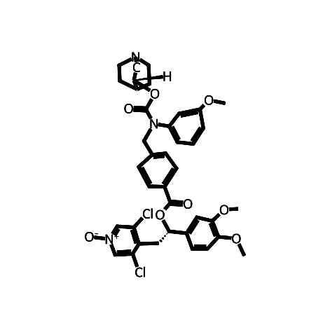 COc1cccc(N(Cc2ccc(C(=O)O[C@@H](Cc3c(Cl)c[n+]([O-])cc3Cl)c3ccc(OC)c(OC)c3)cc2)C(=O)O[C@H]2CN3CCC2CC3)c1